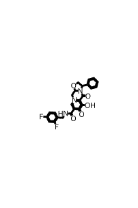 O=C(NCc1ccc(F)cc1F)c1cn2c(c(O)c1=O)C(=O)N1C(C2)OCC1c1ccccc1